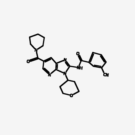 N#Cc1cccc(C(=O)Nc2nc3cc(C(=O)N4CCCCC4)cnc3n2C2CCOCC2)c1